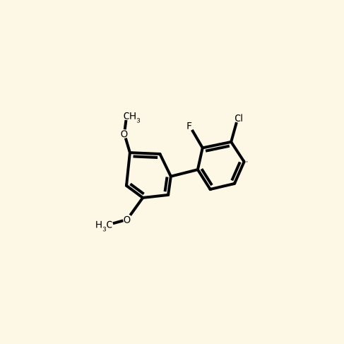 COc1cc(OC)cc(-c2cc[c]c(Cl)c2F)c1